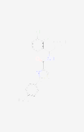 O=C(O)CC(NC(=O)c1csc(-c2ccc(C(F)(F)F)cc2)n1)c1cccc(Cl)c1Cl